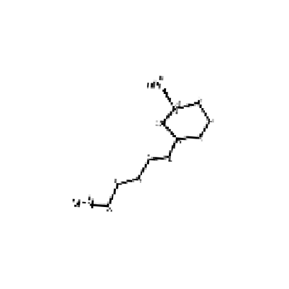 CCC[C@H]1CCCC(CCCCCNC)C1